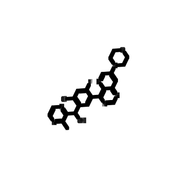 Cc1nccnc1C(O)c1cc(-c2ncnc3cc(N4CCOCC4)cnc23)c(F)cc1Cl